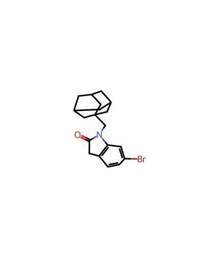 O=C1Cc2ccc(Br)cc2N1CC12CC3CC(CC(C3)C1)C2